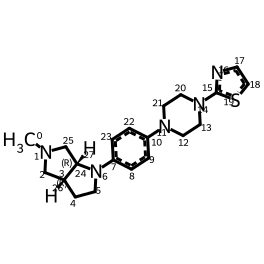 CN1C[C@H]2CCN(c3ccc(N4CCN(c5nccs5)CC4)cc3)[C@H]2C1